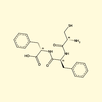 N[C@@H](CS)C(=O)N[C@@H](Cc1ccccc1)C(=O)N[C@@H](Cc1ccccc1)C(=O)O